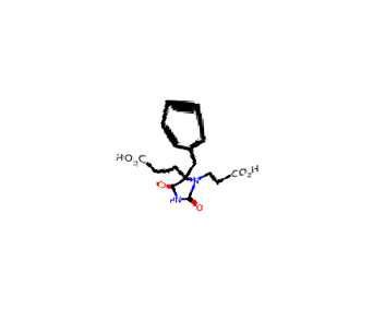 O=C(O)CCN1C(=O)NC(=O)C1(CCC(=O)O)Cc1ccccc1